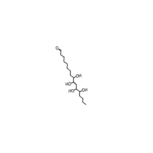 CCCCC(O)C(O)CC(O)C(O)CCCCCCCC=O